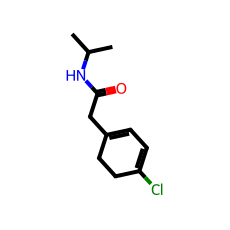 CC(C)NC(=O)CC1=CC=C(Cl)CC1